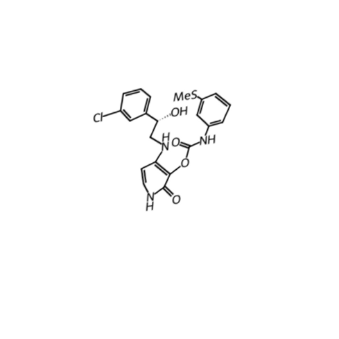 CSc1cccc(NC(=O)Oc2c(NC[C@@H](O)c3cccc(Cl)c3)cc[nH]c2=O)c1